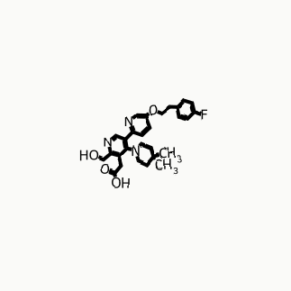 CC1(C)CCN(c2c(-c3ccc(OCCc4ccc(F)cc4)cn3)cnc(CO)c2CC(=O)O)CC1